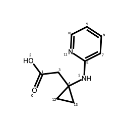 O=C(O)CC1(Nc2ccccn2)CC1